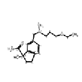 CCOCCCN(C)Cc1ccc2c(c1)[C@@](O)(C(N)=O)CC2